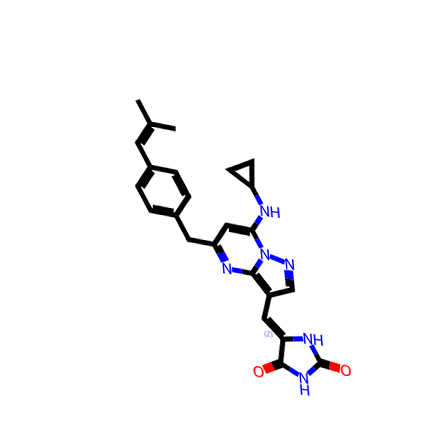 CC(C)=Cc1ccc(Cc2cc(NC3CC3)n3ncc(/C=C4\NC(=O)NC4=O)c3n2)cc1